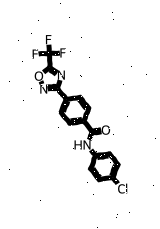 O=C(Nc1ccc(Cl)cc1)c1ccc(-c2noc(C(F)(F)F)n2)cc1